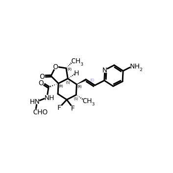 C[C@H]1OC(=O)[C@]2(C(=O)NNC=O)CC(F)(F)[C@@H](C)[C@H](/C=C/c3ccc(N)cn3)[C@H]12